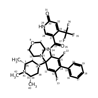 C[C@@H]1CN(C2(N3CCOCC3)C=C(F)C(c3ccccc3)=C(F)C2NC(=O)c2c[nH]c(=O)cc2C(F)(F)F)C[C@H](C)N1C